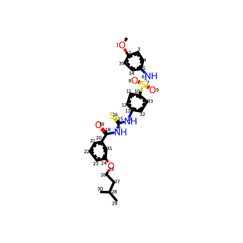 COc1ccc(NS(=O)(=O)c2ccc(NC(=S)NC(=O)c3cccc(OCCC(C)C)c3)cc2)cc1